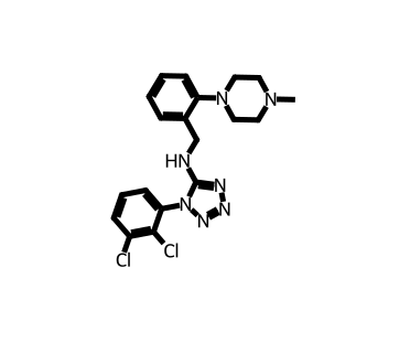 CN1CCN(c2ccccc2CNc2nnnn2-c2cccc(Cl)c2Cl)CC1